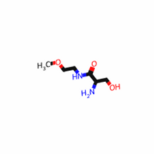 COCCNC(=O)C(N)CO